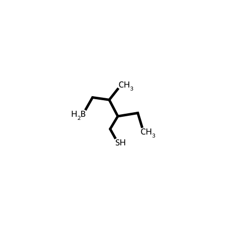 BCC(C)C(CC)CS